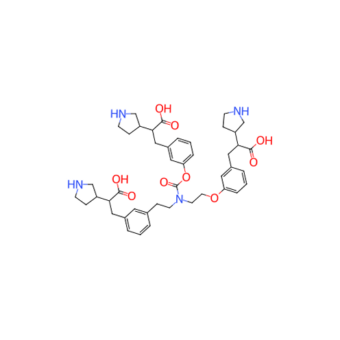 O=C(O)C(Cc1cccc(CCN(CCOc2cccc(CC(C(=O)O)C3CCNC3)c2)C(=O)Oc2cccc(CC(C(=O)O)C3CCNC3)c2)c1)C1CCNC1